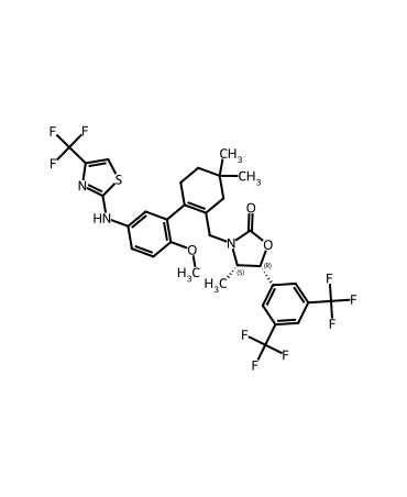 COc1ccc(Nc2nc(C(F)(F)F)cs2)cc1C1=C(CN2C(=O)O[C@H](c3cc(C(F)(F)F)cc(C(F)(F)F)c3)[C@@H]2C)CC(C)(C)CC1